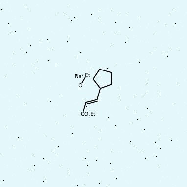 CCOC(=O)C=CC1CCCC1.CC[O-].[Na+]